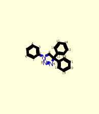 [C]1N(c2ccccc2)N=NC1(c1ccccc1)c1ccccc1